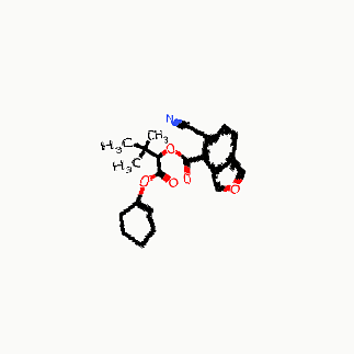 CC(C)(C)C(OC(=O)c1c(C#N)ccc2cocc12)C(=O)OC1CCCCC1